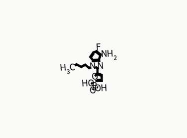 CCCCCn1c(-c2ccc(P(=O)(O)O)o2)nc2c(N)c(F)ccc21